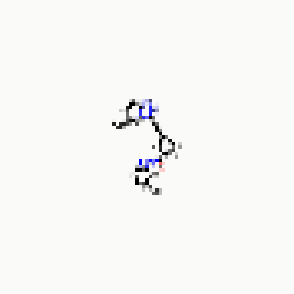 CC(=O)c1cccc(NC(=O)c2cccc(C#Cc3nnc4ccc(C(C)=O)cn34)c2)c1